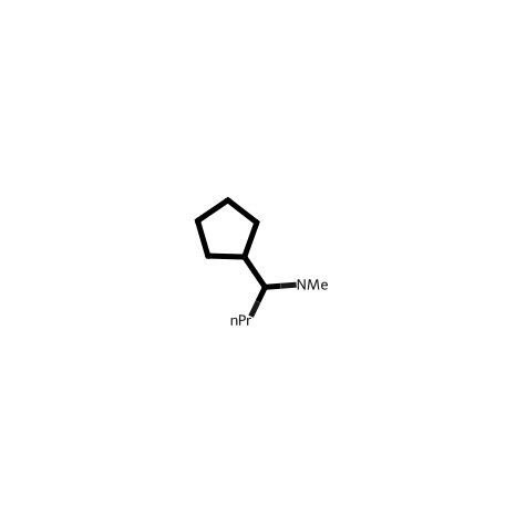 [CH2]CCC(NC)C1CCCC1